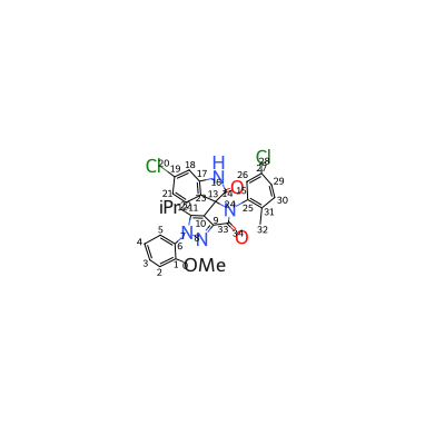 COc1ccccc1-n1nc2c(c1C(C)C)C1(C(=O)Nc3cc(Cl)ccc31)N(c1cc(Cl)ccc1C)C2=O